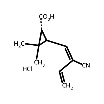 C=CC(C#N)=CC1[C@@H](C(=O)O)C1(C)C.Cl